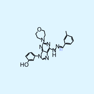 Cc1cccc(/C=N/Nc2nc(N3CCOCC3)nc3c2ncn3-c2cccc(O)c2)c1